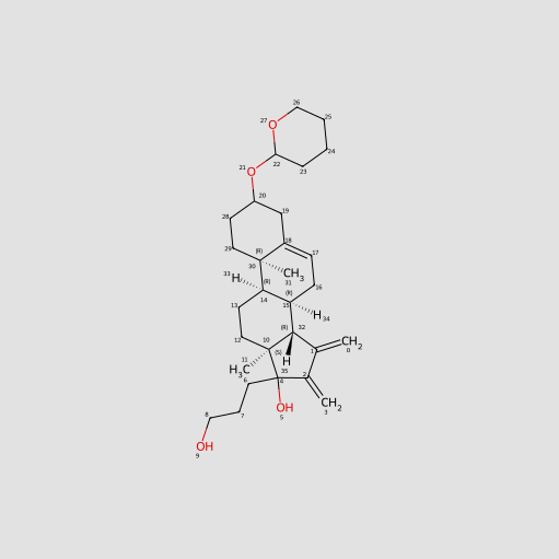 C=C1C(=C)C(O)(CCCO)[C@@]2(C)CC[C@@H]3[C@@H](CC=C4CC(OC5CCCCO5)CC[C@@]43C)[C@H]12